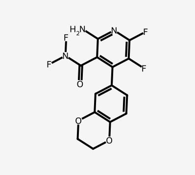 Nc1nc(F)c(F)c(-c2ccc3c(c2)OCCO3)c1C(=O)N(F)F